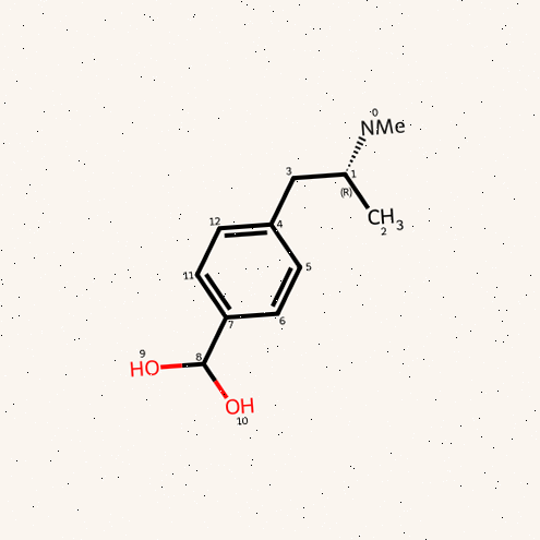 CN[C@H](C)Cc1ccc(C(O)O)cc1